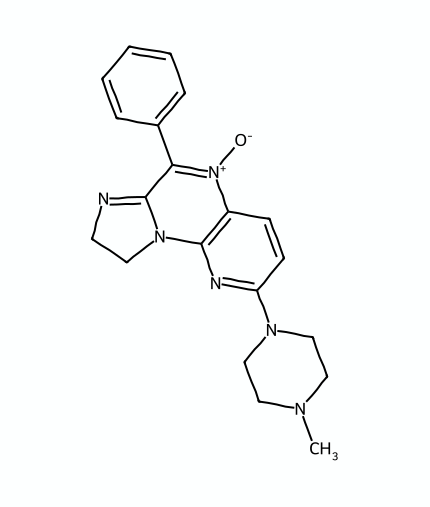 CN1CCN(c2ccc3c(n2)N2CCN=C2C(c2ccccc2)=[N+]3[O-])CC1